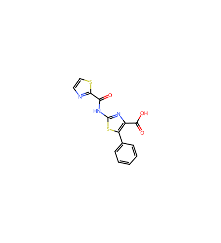 O=C(Nc1nc(C(=O)O)c(-c2ccccc2)s1)c1nccs1